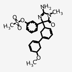 COC1C=CC=C(C2=CC=CC(C3(c4cccc(OS(C)(=O)=O)c4)N=C(N)N(C)C3=O)C2)C1